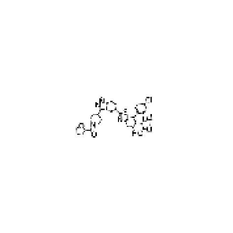 Cc1cc2nc(-c3ccc4c(c3)c(C3CCN(C(=O)[C@H]5CCCO5)CC3)nn4C)sc2c(-c2ccc(Cl)cc2)c1C(OC(C)(C)C)C(=O)O